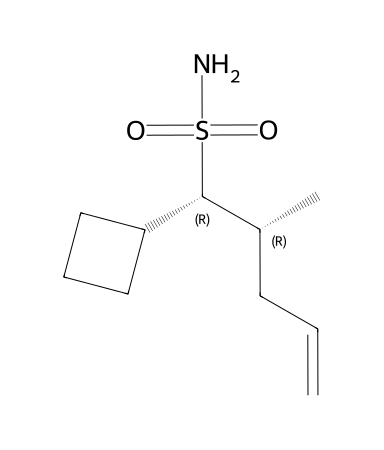 C=CC[C@@H](C)[C@H](C1CCC1)S(N)(=O)=O